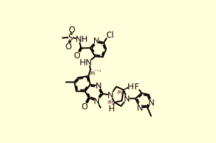 Cc1cc([C@@H](C)Nc2ccc(Cl)nc2C(=O)NS(C)(=O)=O)c2nc(N3C[C@H]4C[C@@H]3CN4c3nc(C)ncc3F)n(C)c(=O)c2c1